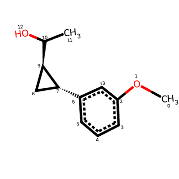 COc1cccc([C@@H]2C[C@H]2C(C)O)c1